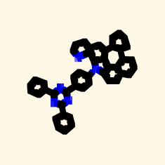 c1ccc(-c2nc(-c3ccccc3)nc(-c3ccc(-n4c5ccc6cccc7c6c5c5c(cc6cccnc6c54)-c4ccccc4-7)cc3)n2)cc1